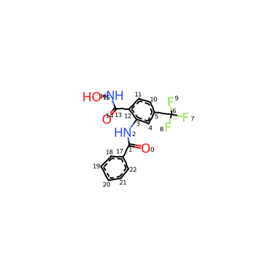 O=C(Nc1cc(C(F)(F)F)ccc1C(=O)NO)c1ccccc1